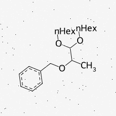 CCCCCCOC(OCCCCCC)C(C)OCc1ccccc1